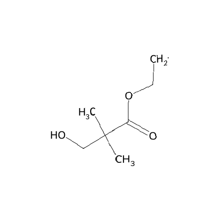 [CH2]COC(=O)C(C)(C)CO